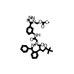 CCC(=O)OCn1nnnc1-c1cccc(NC(=O)CN2N=C(c3ccccc3)c3ccccc3C(CC(=O)C(C)(C)C)C2=O)c1